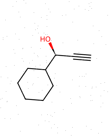 C#C[C@H](O)C1CCCCC1